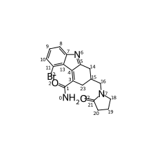 NC(=O)C1=C2C(=Nc3cccc(Br)c32)CC(CN2CCCC2=O)C1